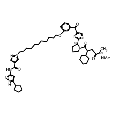 CN[C@@H](C)C(=O)CC(C(=O)N1CCC[C@H]1c1nc(C(=O)c2cccc(OCCCCCCCCCCCn3cc(C(=O)Nc4cc(C5CCCC5)[nH]n4)cn3)c2)cs1)C1CCCCC1